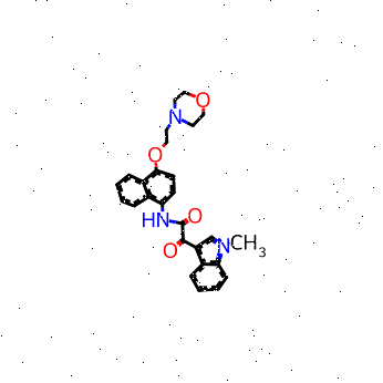 Cn1cc(C(=O)C(=O)Nc2ccc(OCCN3CCOCC3)c3ccccc23)c2ccccc21